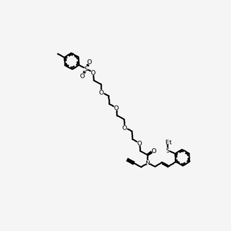 C#CCN(C/C=C/c1ccccc1SCC)C(=O)COCCOCCOCCOCCOS(=O)(=O)c1ccc(C)cc1